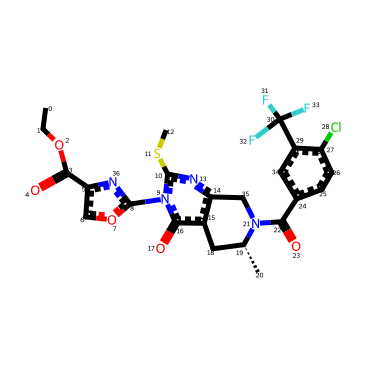 CCOC(=O)c1coc(-n2c(SC)nc3c(c2=O)C[C@@H](C)N(C(=O)c2ccc(Cl)c(C(F)(F)F)c2)C3)n1